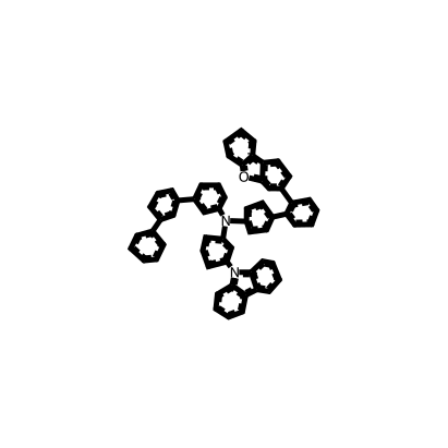 c1ccc(-c2cccc(-c3cccc(N(c4ccc(-c5ccccc5-c5ccc6c(c5)oc5ccccc56)cc4)c4cccc(-n5c6ccccc6c6ccccc65)c4)c3)c2)cc1